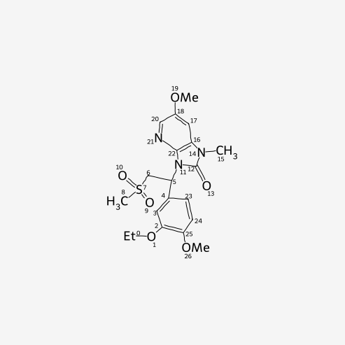 CCOc1cc(C(CS(C)(=O)=O)n2c(=O)n(C)c3cc(OC)cnc32)ccc1OC